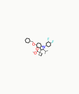 COC(=O)C1(c2c(C(C)C)n(-c3ccc(F)c(F)c3)c3ccc(OCc4ccccc4)cc23)C=CC1